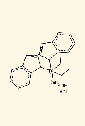 C[CH2][Ti](=[SiH2])([CH2]C)([CH]1C(C)=Cc2ccccc21)[CH]1C(C)=Cc2ccccc21.Cl.Cl